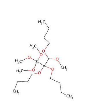 CCCCOC(OC)C(OCCCC)(OCCCC)[Si](OC)(OC)OC